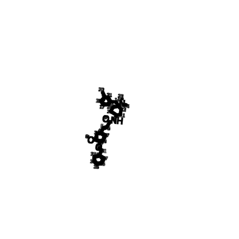 COc1cc(C=CC(=O)NC2CCC(Cc3cccc(C)c3)(N(C)C)CC2)ccc1OCc1ccccc1